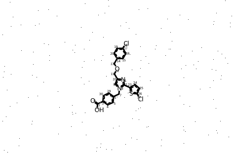 O=C(O)c1ccc(Cn2cc(COCc3ccc(Cl)cc3)nc2-c2ccc(Cl)s2)cc1